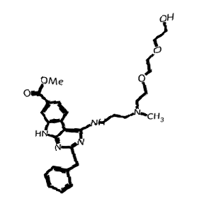 COC(=O)c1ccc2c(c1)[nH]c1nc(Cc3ccccc3)nc(NCCCN(C)CCOCCOCCO)c12